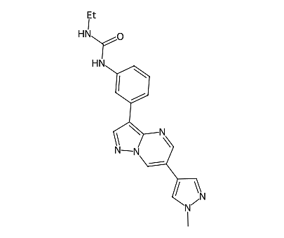 CCNC(=O)Nc1cccc(-c2cnn3cc(-c4cnn(C)c4)cnc23)c1